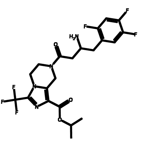 CC(C)OC(=O)c1nc(C(F)(F)F)n2c1CN(C(=O)CC(N)Cc1cc(F)c(F)cc1F)CC2